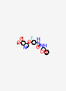 COC1=CC2=NC=CC(Oc3ccc(NC(=O)NC(CO)Cc4cc#ccc4)cc3F)C2C=C1OC